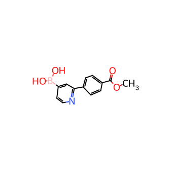 COC(=O)c1ccc(-c2cc(B(O)O)ccn2)cc1